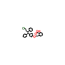 O=C(O)c1ccccc1CCOc1ccc(C(c2ccccc2)C(CCCl)c2ccccc2)cc1